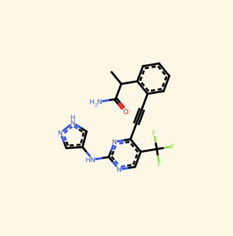 CC(C(N)=O)c1ccccc1C#Cc1nc(Nc2cn[nH]c2)ncc1C(F)(F)F